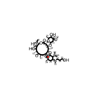 CC[C@H]1OC(=O)[C@H](C)[C@@H](O[C@H]2C[C@@](C)(OC)[C@@H](O)[C@H](C)O2)[C@H](C)[C@@H](O[C@@H]2O[C@H](C)C[C@@H](N(C)CCCO)[C@@H]2N(C)C)[C@@](C)(OC)C[C@@H](C)C(=O)[C@H](C)[C@@H](O)[C@]1(C)O